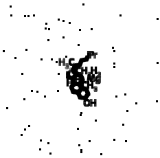 CC(C)CCC[C@@H](C)[C@H]1CCC2[C@H]3CC=C4CC(O)CC[C@]4(C)[C@@H]3CC[C@@]21C.[MgH2]